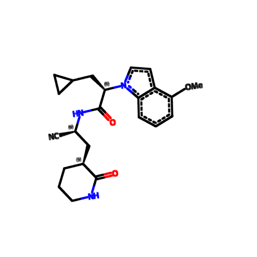 COc1cccc2c1ccn2[C@H](CC1CC1)C(=O)N[C@H](C#N)C[C@@H]1CCCNC1=O